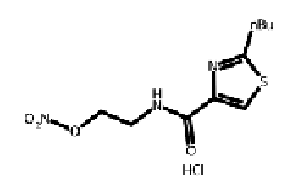 CCCCc1nc(C(=O)NCCO[N+](=O)[O-])cs1.Cl